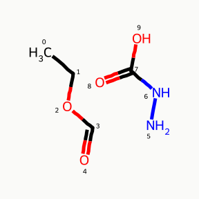 CCOC=O.NNC(=O)O